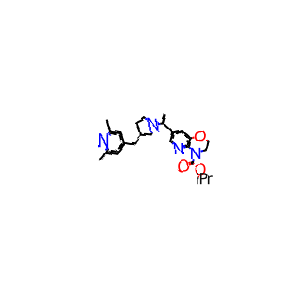 Cc1cc(C[C@H]2CCN(C(C)c3cnc4c(c3)OCCN4C(=O)OC(C)C)C2)cc(C)n1